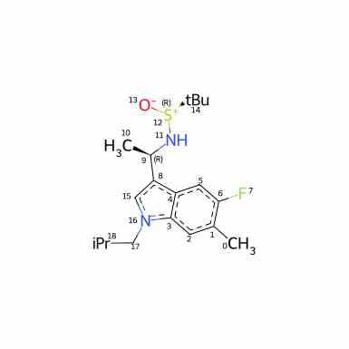 Cc1cc2c(cc1F)c([C@@H](C)N[S@@+]([O-])C(C)(C)C)cn2CC(C)C